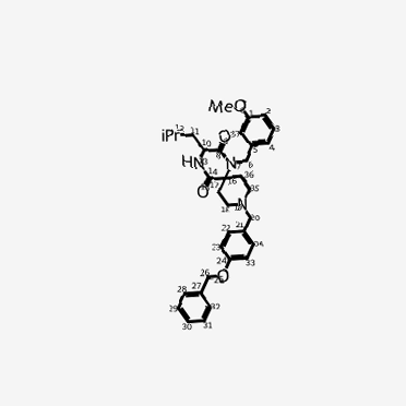 COc1cccc(CN2C(=O)C(CC(C)C)NC(=O)C23CCN(Cc2ccc(OCc4ccccc4)cc2)CC3)c1